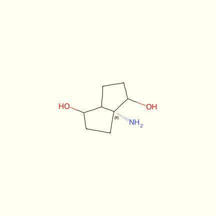 N[C@]12CCC(O)C1CCC2O